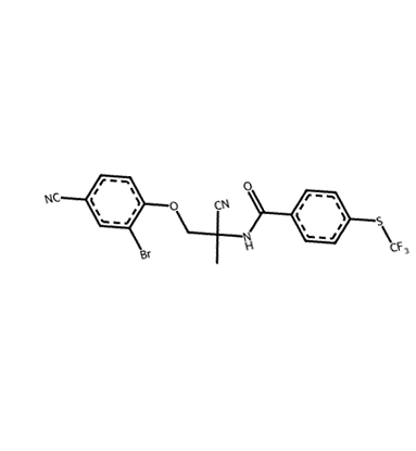 CC(C#N)(COc1ccc(C#N)cc1Br)NC(=O)c1ccc(SC(F)(F)F)cc1